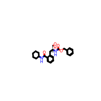 O=C(N[C@@H](CO)Cc1ccccc1C(=O)NC1CCCCC1)OCc1ccccc1